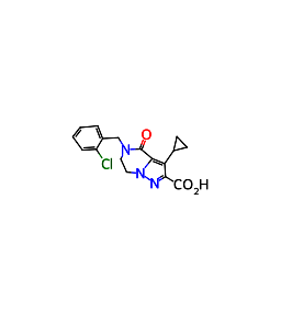 O=C(O)c1nn2c(c1C1CC1)C(=O)N(Cc1ccccc1Cl)CC2